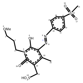 COCCCn1c(O)c(/N=N/c2ccc(S(C)(=O)=O)cc2)c(C)c(CS(=O)(=O)O)c1=O